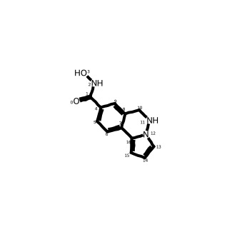 O=C(NO)c1ccc2c(c1)CNn1cccc1-2